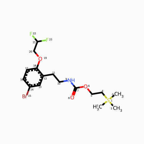 CS(C)(C)CCOC(=O)NCCc1cc(Br)ccc1OCC(F)F